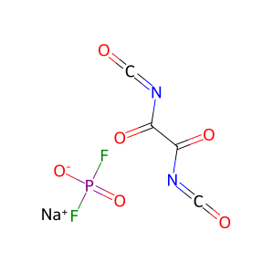 O=C=NC(=O)C(=O)N=C=O.O=P([O-])(F)F.[Na+]